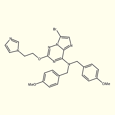 COc1ccc(CN(Cc2ccc(OC)cc2)c2nc(OCCn3ccnc3)nn3c(Br)cnc23)cc1